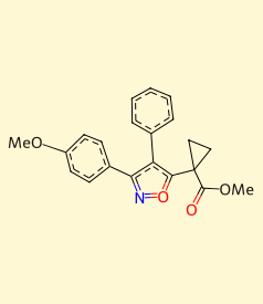 COC(=O)C1(c2onc(-c3ccc(OC)cc3)c2-c2ccccc2)CC1